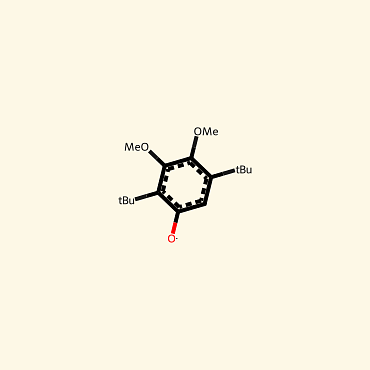 COc1c(C(C)(C)C)cc([O])c(C(C)(C)C)c1OC